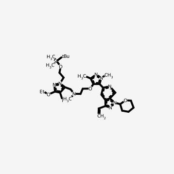 C=Cc1nn(C2CCCCO2)c2cnc(-c3c(OCCN(C)Cc4c(I)c(OCC)nn4CCO[Si](C)(C)C(C)(C)C)c(C)nn3C)cc12